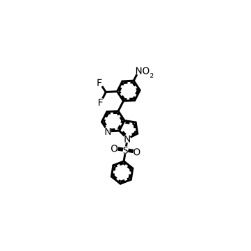 O=[N+]([O-])c1ccc(-c2ccnc3c2ccn3S(=O)(=O)c2ccccc2)c(C(F)F)c1